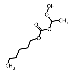 CCCCCCOC(=O)OC(C)OO